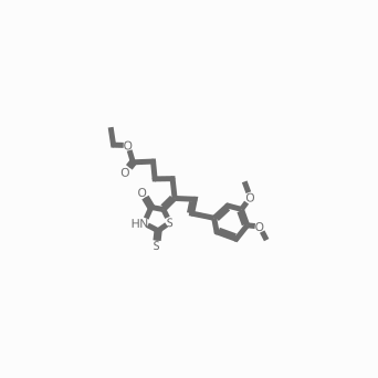 CCOC(=O)CCCC(C=Cc1ccc(OC)c(OC)c1)=C1SC(=S)NC1=O